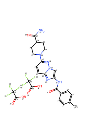 CC(C)(C)c1ccc(C(=O)Nc2cn3nc(N4CCC(C(N)=O)CC4)ccc3n2)cc1.O=C(O)C(F)(F)F.O=C(O)C(F)(F)F